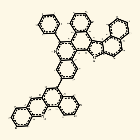 c1ccc(-c2nc3cc(-c4cc5cc6ccccc6nc5c5ccccc45)ccc3c3c4oc5ccc6ccccc6c5c4c4ccccc4c23)cc1